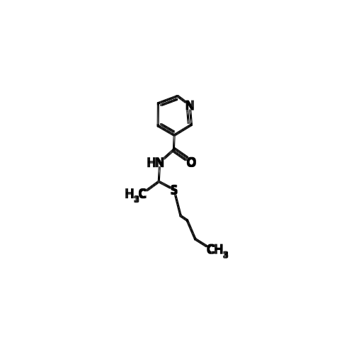 CCCCSC(C)NC(=O)c1cccnc1